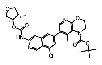 Cc1c(-c2cc(Cl)c3cnc(NC(=O)O[C@H]4COC[C@@H]4C)cc3c2)cnc2c1N(C(=O)OC(C)(C)C)CCO2